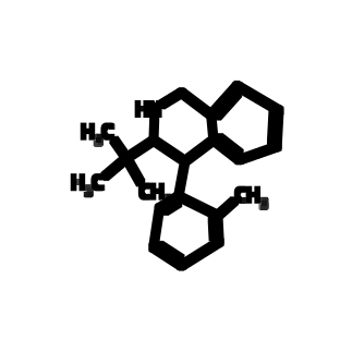 Cc1ccccc1C1c2ccccc2CNC1C(C)(C)C